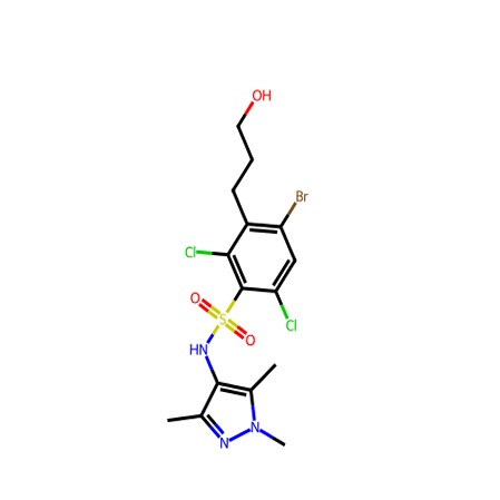 Cc1nn(C)c(C)c1NS(=O)(=O)c1c(Cl)cc(Br)c(CCCO)c1Cl